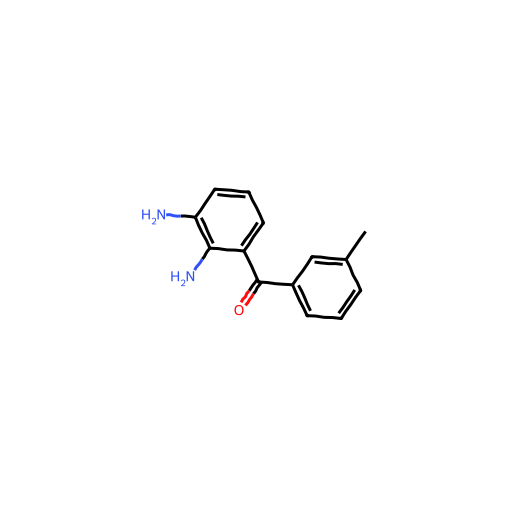 Cc1cccc(C(=O)c2cccc(N)c2N)c1